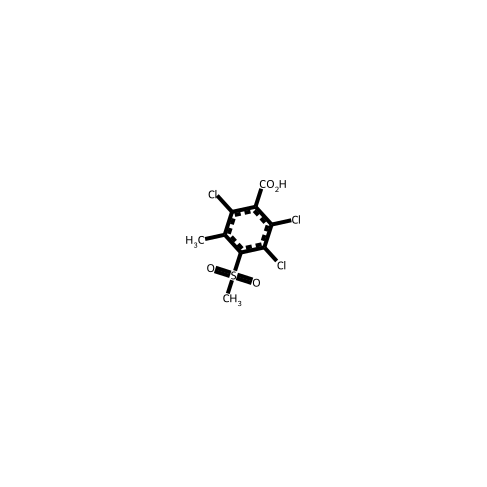 Cc1c(Cl)c(C(=O)O)c(Cl)c(Cl)c1S(C)(=O)=O